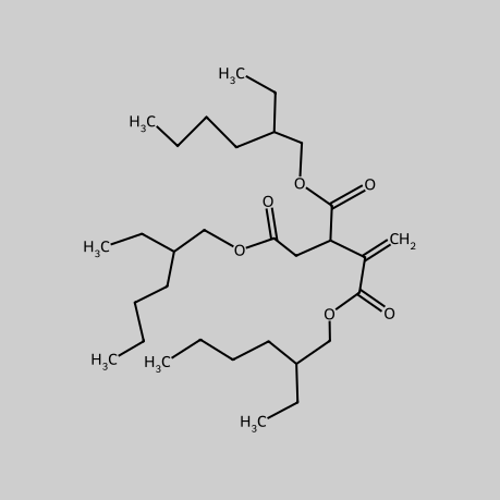 C=C(C(=O)OCC(CC)CCCC)C(CC(=O)OCC(CC)CCCC)C(=O)OCC(CC)CCCC